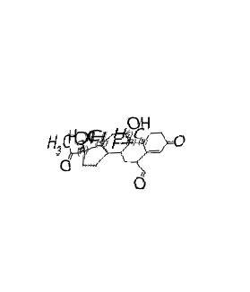 CC(=O)[C@@]1(O)CCC2C3CC(C=O)C4=CC(=O)CC[C@]4(C)[C@@]3(F)[C@@H](O)C[C@@]21C